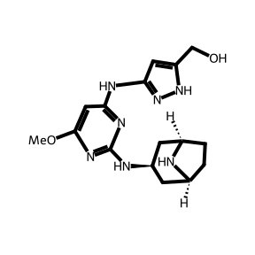 COc1cc(Nc2cc(CO)[nH]n2)nc(N[C@H]2C[C@H]3CC[C@@H](C2)N3)n1